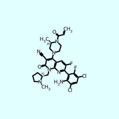 C=CC(=O)N1CCN(c2c(C#N)c(=O)n(C[C@@H]3CCCN3C)c3nc(-c4c(N)c(Cl)cc(Cl)c4F)c(F)cc23)C[C@H]1C